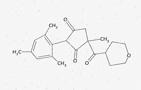 Cc1cc(C)c(C2C(=O)CC(C)(C(=O)C3CCOCC3)C2=O)c(C)c1